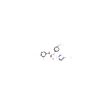 Cc1ccc(N2C(=O)C(O)=C(C(=O)c3ccc(OC(F)(F)F)cc3)C2c2ccc(C(C)C)cc2)cn1